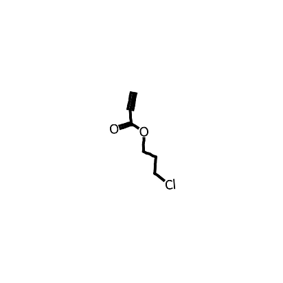 C#CC(=O)OCCCCl